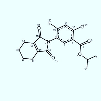 CC(C)OC(=O)c1cc(N2C(=O)C3=C(CCCC3)C2=O)c(F)cc1Cl